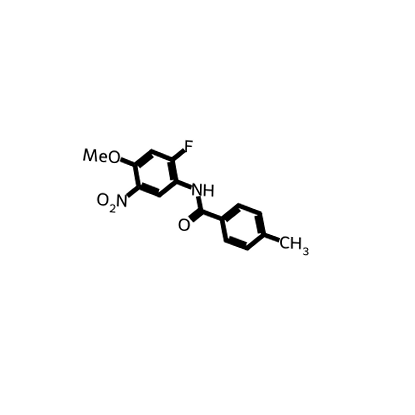 COc1cc(F)c(NC(=O)c2ccc(C)cc2)cc1[N+](=O)[O-]